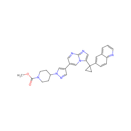 COC(=O)N1CCC(n2cc(-c3cnc4ncc(C5(c6ccc7ncccc7c6)CC5)n4c3)cn2)CC1